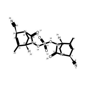 CC1=C[C@@H](C#N)N2C[C@@H]1N(OS(=O)(=O)ON1C(=O)N3C[C@H]1C(C)=C[C@H]3C#N)C2=O